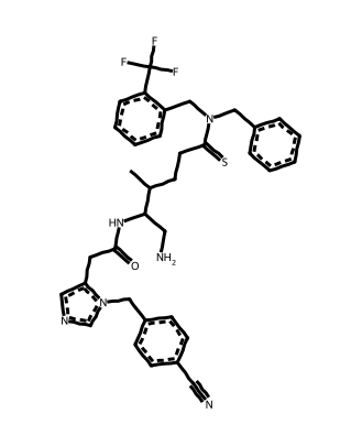 CC(CCC(=S)N(Cc1ccccc1)Cc1ccccc1C(F)(F)F)C(CN)NC(=O)Cc1cncn1Cc1ccc(C#N)cc1